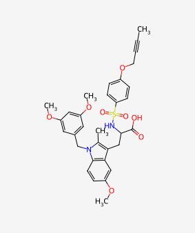 CC#CCOc1ccc(S(=O)(=O)NC(Cc2c(C)n(Cc3cc(OC)cc(OC)c3)c3ccc(OC)cc23)C(=O)O)cc1